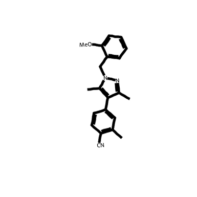 COc1ccccc1Cn1nc(C)c(-c2ccc(C#N)c(C)c2)c1C